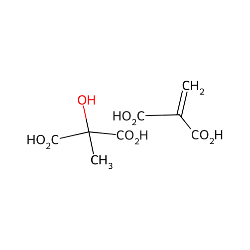 C=C(C(=O)O)C(=O)O.CC(O)(C(=O)O)C(=O)O